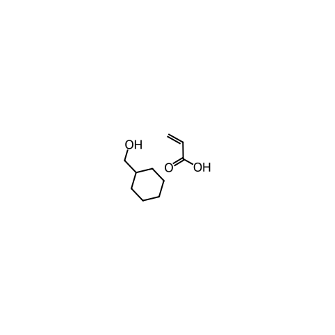 C=CC(=O)O.OCC1CCCCC1